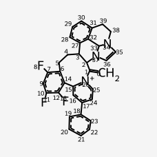 C=C1C2C(CCc3c(F)cc(F)c(F)c3-c3cc(-c4ccccc4)cc[n+]31)c1cccc3c1C1N(C=CN21)CC3